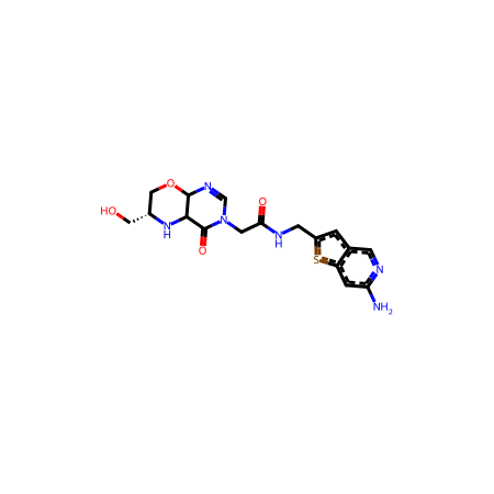 Nc1cc2sc(CNC(=O)CN3C=NC4OC[C@@H](CO)NC4C3=O)cc2cn1